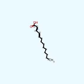 CCCCCCCCCC=C/C=C/C(=O)O